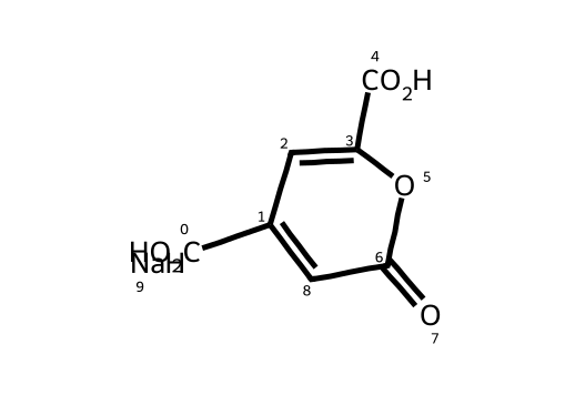 O=C(O)c1cc(C(=O)O)oc(=O)c1.[NaH]